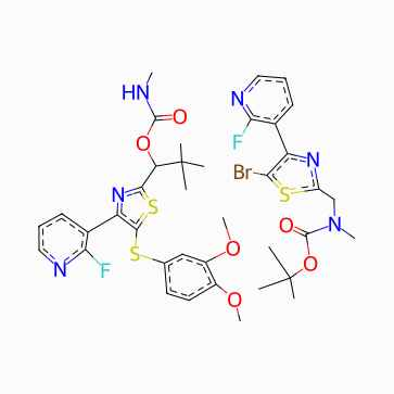 CN(Cc1nc(-c2cccnc2F)c(Br)s1)C(=O)OC(C)(C)C.CNC(=O)OC(c1nc(-c2cccnc2F)c(Sc2ccc(OC)c(OC)c2)s1)C(C)(C)C